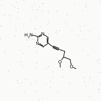 COCC(CC#Cc1cnc(N)nc1)OC